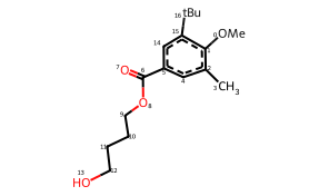 COc1c(C)cc(C(=O)OCCCCO)cc1C(C)(C)C